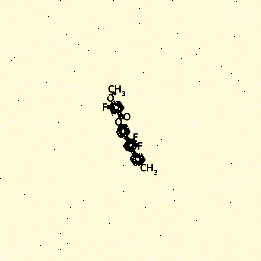 CCOc1ccc(C(=O)Oc2ccc(-c3ccc(-c4ccc(C)cc4)c(F)c3F)cc2)cc1F